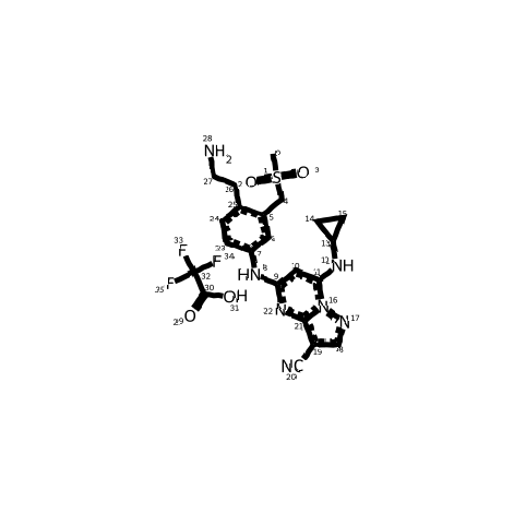 CS(=O)(=O)Cc1cc(Nc2cc(NC3CC3)n3ncc(C#N)c3n2)ccc1CCN.O=C(O)C(F)(F)F